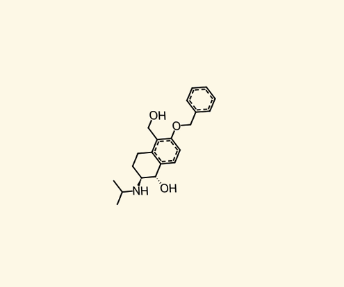 CC(C)N[C@H]1CCc2c(ccc(OCc3ccccc3)c2CO)[C@@H]1O